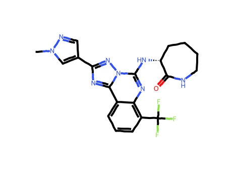 Cn1cc(-c2nc3c4cccc(C(F)(F)F)c4nc(N[C@@H]4CCCCNC4=O)n3n2)cn1